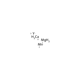 [CaH2].[MgH2].[Mn].[Y]